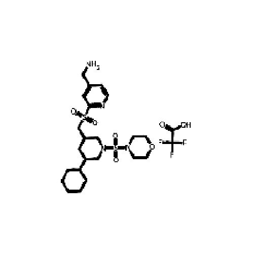 NCc1ccnc(S(=O)(=O)CC2CC(C3CCCCC3)CN(S(=O)(=O)N3CCOCC3)C2)c1.O=C(O)C(F)(F)F